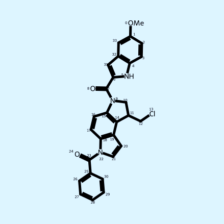 COc1ccc2[nH]c(C(=O)N3CC(CCl)c4c3ccc3c4ccn3C(=O)c3ccccc3)cc2c1